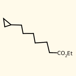 CCOC(=O)CCCCCCC1CC1